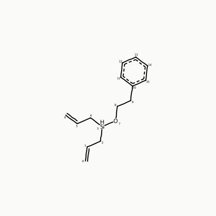 C=CC[SiH](CC=C)OCCc1ccccc1